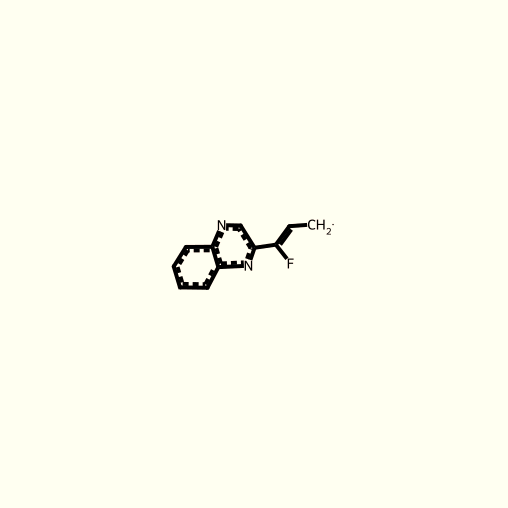 [CH2]/C=C(\F)c1cnc2ccccc2n1